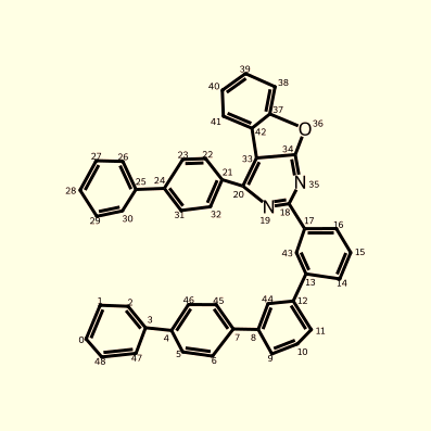 c1ccc(-c2ccc(-c3cccc(-c4cccc(-c5nc(-c6ccc(-c7ccccc7)cc6)c6c(n5)oc5ccccc56)c4)c3)cc2)cc1